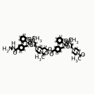 CC(=O)N1CCN(CCN(C)S(=O)(=O)N(Cc2ccc(C(=O)OCCC3CN(CCN(C)S(=O)(=O)N(Cc4ccc(C(=O)NN)cc4)c4ccccc4)CCN3C(C)=O)cc2)c2ccccc2)CC1